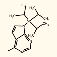 CC(C)[Si](C(C)C)(C(C)C)n1ccc2c(I)ncnc21